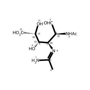 CC(=O)N[C@H](C=O)[C@@H](N=C(C)N)[C@H](O)[C@@H](O)C(=O)O